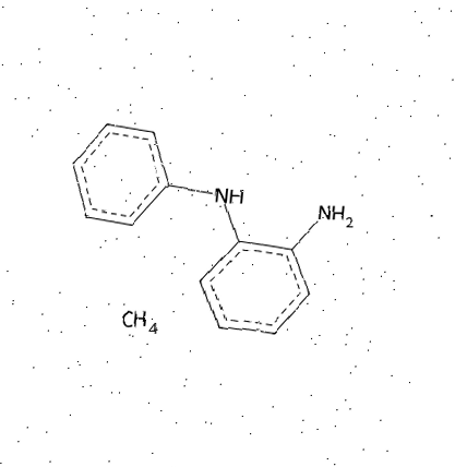 C.Nc1ccccc1Nc1ccccc1